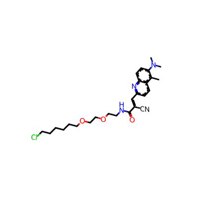 Cc1c(N(C)C)ccc2nc(/C=C(\C#N)C(=O)NCCOCCOCCCCCCCl)ccc12